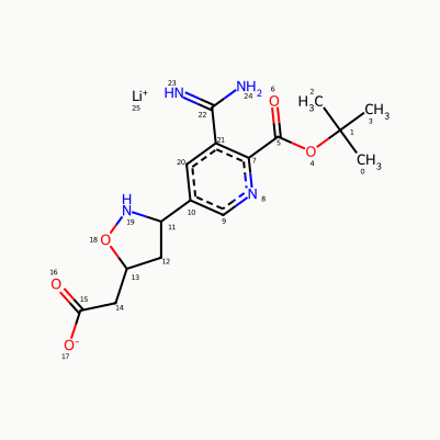 CC(C)(C)OC(=O)c1ncc(C2CC(CC(=O)[O-])ON2)cc1C(=N)N.[Li+]